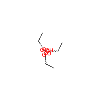 CCCCCCCC/C=C\CCCCCCCC(=O)OCC(CO)(COC(=O)CCCCCCC/C=C\CCCCCCCC)COC(=O)CCCCCCC/C=C\CCCCCCCC